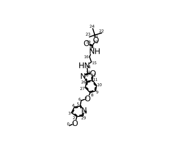 COc1ccc(COc2ccc3oc(NCCNC(=O)OC(C)(C)C)nc3c2)nc1